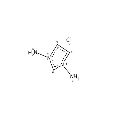 Nn1cc[n+](N)c1.[Cl-]